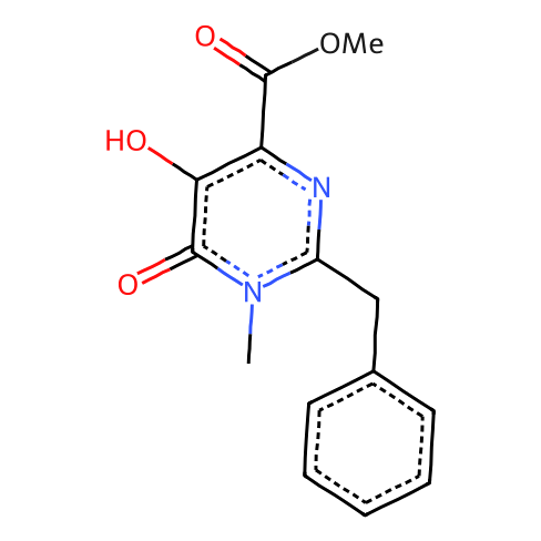 COC(=O)c1nc(Cc2ccccc2)n(C)c(=O)c1O